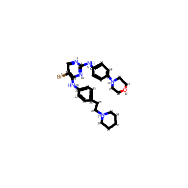 Brc1cnc(Nc2ccc(N3CCOCC3)cc2)nc1Nc1ccc(CCN2CCCCC2)cc1